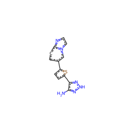 Nc1n[nH]nc1-c1ccc(-c2ccc3nccn3c2)s1